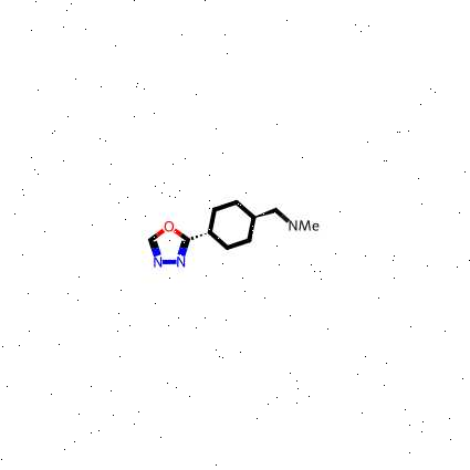 CNC[C@H]1CC[C@H](c2nnco2)CC1